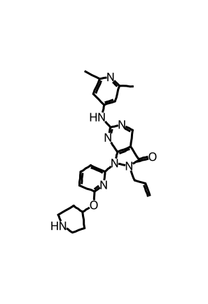 C=CCn1c(=O)c2cnc(Nc3cc(C)nc(C)c3)nc2n1-c1cccc(OC2CCNCC2)n1